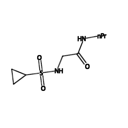 CCCNC(=O)CNS(=O)(=O)C1CC1